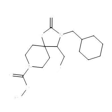 CC(C)(C)OC(=O)N1CCC2(CC1)OC(=O)N(CC1CCCCC1)C2CO